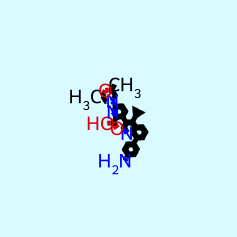 CC1CN(c2ccc(-c3cnc4c(-c5ccc(N)cc5)cccc4c3C3CC3)c(C(=O)O)n2)CC(C)O1